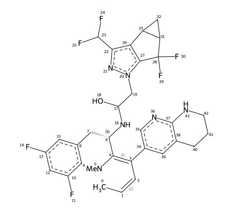 C/C=C\C(=C(/NC)[C@H](Cc1cc(F)cc(F)c1)NC(O)Cn1nc(C(F)F)c2c1C(F)(F)C1CC21)c1cnc2c(c1)CCCN2